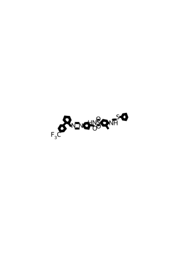 Cc1cc(S(=O)(=O)NC(=O)c2ccc(N3CCN(Cc4ccccc4-c4ccc(C(F)(F)F)cc4)CC3)cc2)ccc1NCCSc1ccccc1